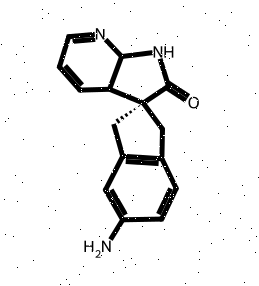 Nc1ccc2c(c1)C[C@@]1(C2)C(=O)NC2N=CC=CC21